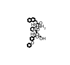 NC(=O)[C@H](Cc1ccc2ccccc2c1)NC(=O)[C@@H]1CCCCN1C(=O)[C@H](CSCO)NC(=O)c1cccc(Oc2ccccc2)c1